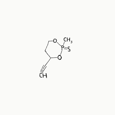 C#CC1CCOP(C)(=S)O1